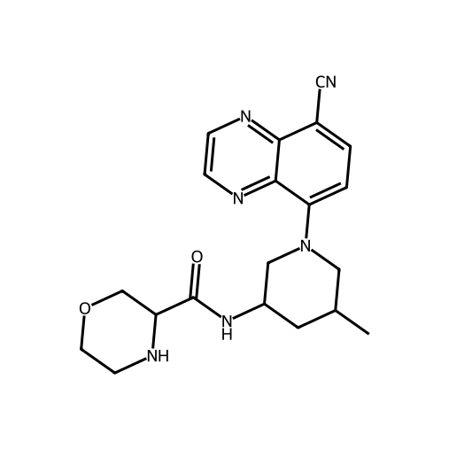 CC1CC(NC(=O)C2COCCN2)CN(c2ccc(C#N)c3nccnc23)C1